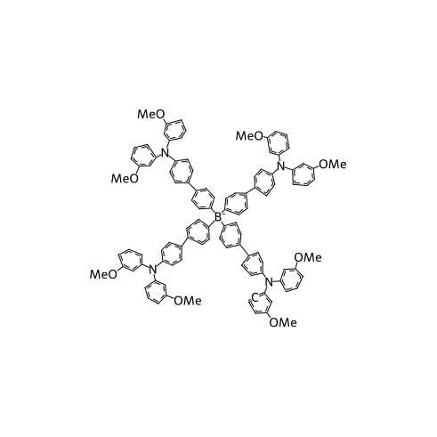 COc1cccc(N(c2ccc(-c3ccc([B-](c4ccc(-c5ccc(N(c6cccc(OC)c6)c6cccc(OC)c6)cc5)cc4)(c4ccc(-c5ccc(N(c6cccc(OC)c6)c6cccc(OC)c6)cc5)cc4)c4ccc(-c5ccc(N(c6cccc(OC)c6)c6cccc(OC)c6)cc5)cc4)cc3)cc2)c2cccc(OC)c2)c1